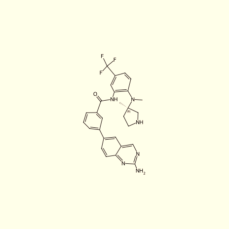 CN(c1ccc(C(F)(F)F)cc1NC(=O)c1cccc(-c2ccc3nc(N)ncc3c2)c1)[C@]1(C)CCNC1